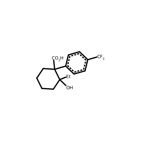 CCC1(O)CCCCC1(C(=O)O)c1ccc(C(F)(F)F)cc1